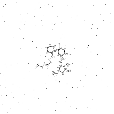 COCCN(C)CCOc1ccccc1-c1cc(NSc2cc(C=O)cc(Cl)c2O)c(F)cc1F